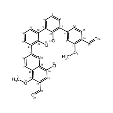 COc1cc(-c2cccc(-c3cccc(-c4ccc5c(OC)c(C=O)cc(Cl)c5n4)c3Cl)c2Cl)ccc1C=O